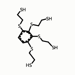 SCCSc1ccc(SCCS)c(SCCS)c1SCCS